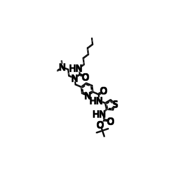 CCCCCCNC(=O)N(CCN(C)C)Cc1ccc(C(=O)Nc2cscc2NC(=O)OC(C)(C)C)nc1